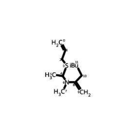 C=CCSC(C)N(C)C(=C)CC(C)CC